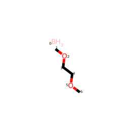 B.COCCOC